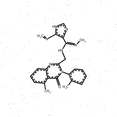 C=Nc1[nH]cnc1/C(=N\C)NCc1nc2cccc(C)c2c(=O)n1-c1ccccc1C